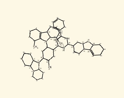 CC1CCCC2=C1N(C1CC(N3C4CCCCC4C4CCCCC43)C(C#N)CC1C1NC(C3=CC=CCC3)NC(C3CCC4C5=CCCCC5OC4C3)N1)C1C(C)CCCC21